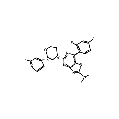 Cc1cc([C@H]2C[C@@H](c3nc(-c4ccc(F)cc4F)c4sc(N(C)C)nc4n3)CCO2)ccn1